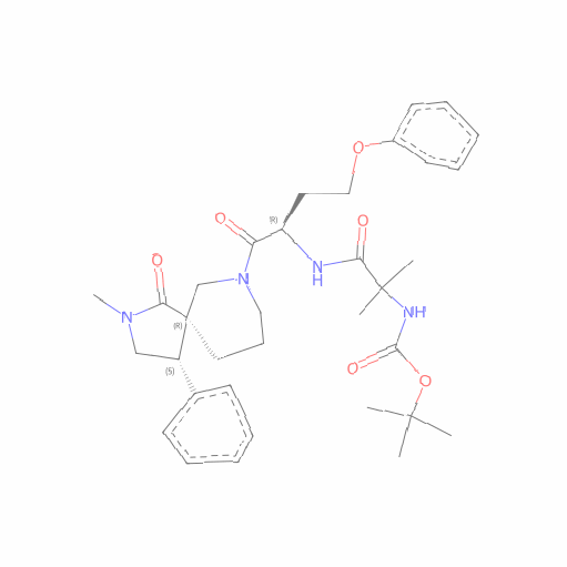 CN1C[C@@H](c2ccccc2)[C@@]2(CCCN(C(=O)[C@@H](CCOc3ccccc3)NC(=O)C(C)(C)NC(=O)OC(C)(C)C)C2)C1=O